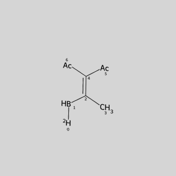 [2H]BC(C)=C(C(C)=O)C(C)=O